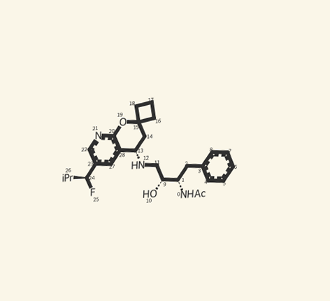 CC(=O)N[C@@H](Cc1ccccc1)[C@H](O)CN[C@H]1CC2(CCC2)Oc2ncc([C@@H](F)C(C)C)cc21